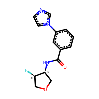 O=C(N[C@H]1COC[C@H]1F)c1cccc(-n2ccnc2)c1